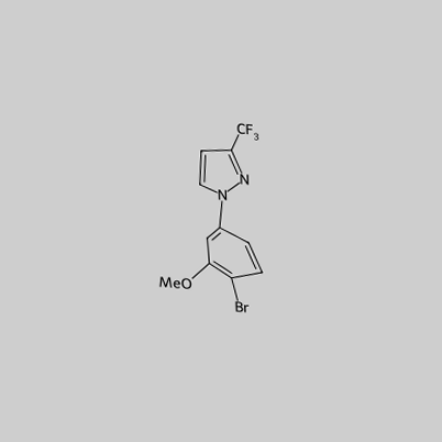 COc1cc(-n2ccc(C(F)(F)F)n2)ccc1Br